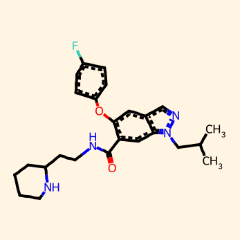 CC(C)Cn1ncc2cc(Oc3ccc(F)cc3)c(C(=O)NCCC3CCCCN3)cc21